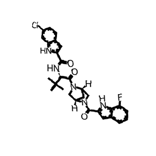 CC(C)(C)[C@H](NC(=O)c1cc2ccc(Cl)cc2[nH]1)C(=O)N1C[C@@H]2C[C@H]1CN2C(=O)c1cc2cccc(F)c2[nH]1